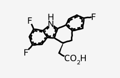 O=C(O)C[C@@H]1Cc2cc(F)ccc2-c2[nH]c3c(F)cc(F)cc3c21